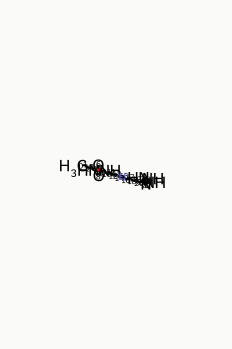 CCCCNC(=O)C(=O)NCCCC/C=C/CCCCCC1=NNNN1